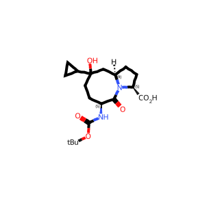 CC(C)(C)OC(=O)N[C@H]1CCC(O)(C2CC2)C[C@H]2CC[C@@H](C(=O)O)N2C1=O